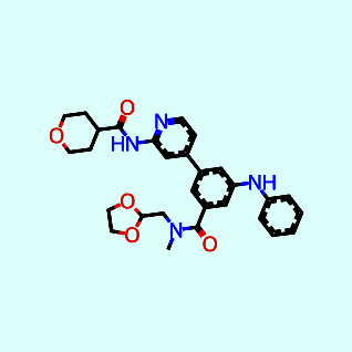 CN(CC1OCCO1)C(=O)c1cc(Nc2ccccc2)cc(-c2ccnc(NC(=O)C3CCOCC3)c2)c1